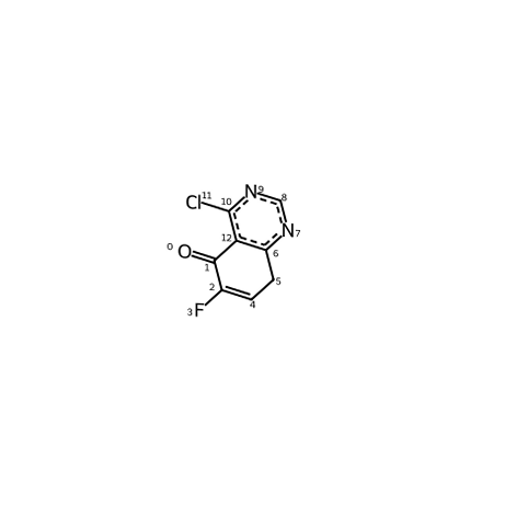 O=C1C(F)=CCc2ncnc(Cl)c21